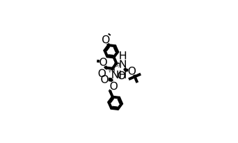 COC(=O)[C@H](NC(=O)OCc1ccccc1)[C@@H](NC(=O)OC(C)(C)C)c1ccc(OC)cc1